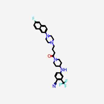 N#Cc1ccc(NC2CCN(C(=O)CCCN3CCN(c4ccc5cc(F)ccc5c4)CC3)CC2)cc1C(F)(F)F